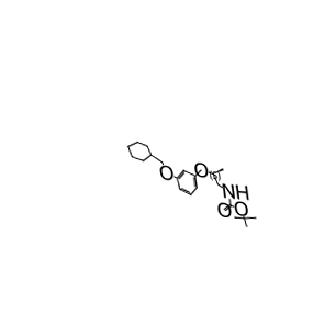 C[C@@H](CNC(=O)OC(C)(C)C)Oc1cccc(OCC2CCCCC2)c1